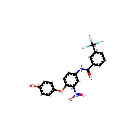 O=C(Nc1ccc(Oc2ccc(O)cc2)c([N+](=O)[O-])c1)c1cccc(C(F)(F)F)c1